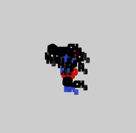 CCc1cc(S(=O)(=O)NC(=O)/C(C)=C/[C@H](C(C)C)N(C)C(=O)[C@@H](NC(=O)[C@@H](NC)C(C)(C)c2ccccc2)C(C)(C)C)ccc1N